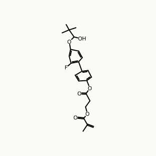 C=C(C)C(=O)OCCC(=O)Oc1ccc(-c2ccc(OC(O)C(C)(C)C)cc2F)cc1